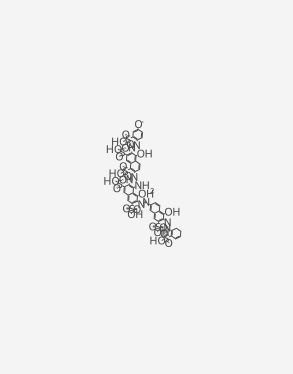 COc1ccc(N=Nc2c(S(=O)(=O)O)cc3c(S(=O)(=O)O)c(N=Nc4c(S(=O)(=O)O)cc5cc(S(=O)(=O)O)c(N=Nc6ccc7c(O)c(N=NC8=C(S(=O)(=O)O)C=CCC8)c(S(=O)(=O)O)cc7c6)c(O)c5c4N)ccc3c2O)c(S(=O)(=O)O)c1